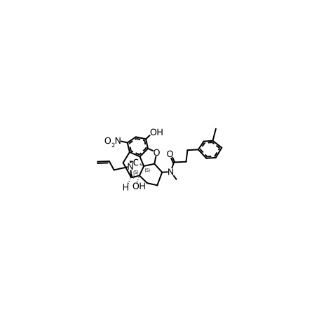 C=CCN1CC[C@]23c4c5c([N+](=O)[O-])cc(O)c4OC2C(N(C)C(=O)CCc2cccc(C)c2)CC[C@@]3(O)[C@H]1C5